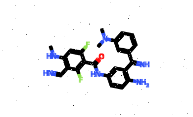 CNc1cc(F)c(C(=O)Nc2ccc(N)c(C(=N)c3cccc(N(C)C)c3)c2)c(F)c1C=N